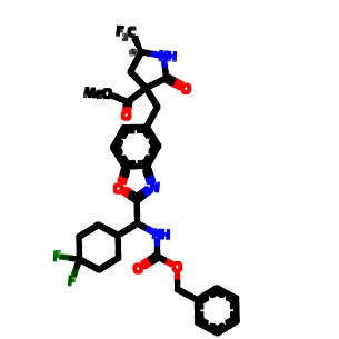 COC(=O)C1(Cc2ccc3oc(C(NC(=O)OCc4ccccc4)C4CCC(F)(F)CC4)nc3c2)C[C@@H](C(F)(F)F)NC1=O